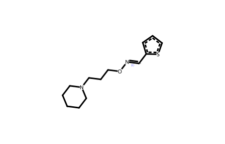 [C](=N\OCCCN1CCCCC1)/c1cccs1